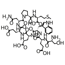 CSCC[C@H](NC(=O)[C@@H]1CCCN1C(=O)[C@H](CC(N)=O)NC(=O)[C@H](CCC(=O)O)NC(=O)[C@H](CCC(=O)O)NC(=O)[C@H](Cc1c[nH]c2ccccc12)NC(=O)[C@H](CCC(=O)O)NC(=O)[C@@H](N)CO)C(=O)O